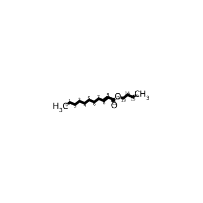 CCCCCCCCC=CC(=O)OCCCC